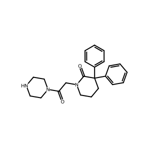 O=C(CN1CCCC(c2ccccc2)(c2ccccc2)C1=O)N1CCNCC1